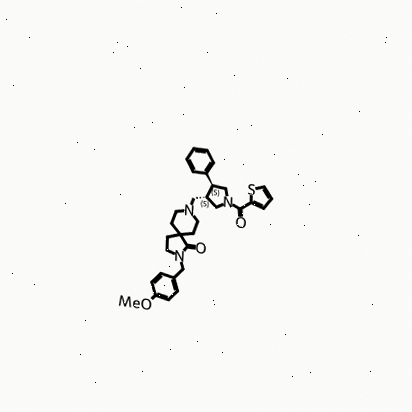 COc1ccc(CN2CCC3(CCN(C[C@H]4CN(C(=O)c5cccs5)C[C@@H]4c4ccccc4)CC3)C2=O)cc1